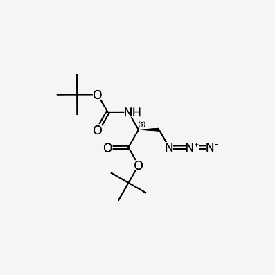 CC(C)(C)OC(=O)N[C@@H](CN=[N+]=[N-])C(=O)OC(C)(C)C